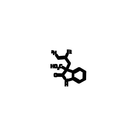 [2H]C=C(CC)CC1(C(=O)O)C(=O)Nc2ccccc21